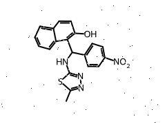 Cc1nnc(NC(c2ccc([N+](=O)[O-])cc2)c2c(O)ccc3ccccc23)s1